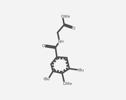 COC(=O)CNC(=O)c1cc(C(C)(C)C)c(OC)c(C(C)(C)C)c1